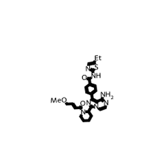 CCc1cnc(NC(=O)c2ccc(-c3nc(C4CCCCN4C(=O)C=CCOC)n4ccnc(N)c34)cc2)s1